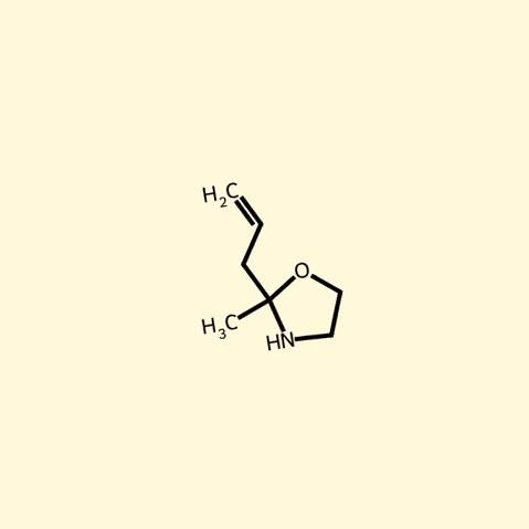 C=CCC1(C)NCCO1